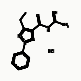 CCc1nn(-c2ccccc2)nc1C(=O)NC(=N)N.Cl